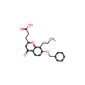 CCCc1c(OCc2ccccc2)ccc2c(=O)cc(CCC(=O)O)oc12